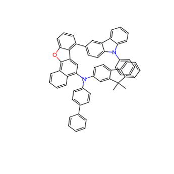 CC1(C)c2ccccc2-c2ccc(N(c3ccc(-c4ccccc4)cc3)c3cc4c(oc5cccc(-c6ccc7c(c6)c6ccccc6n7-c6ccccc6)c54)c4ccccc34)cc21